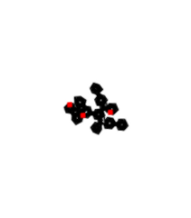 c1ccc(-c2ccc(N(c3ccccc3)c3cc(-c4ccc5c(c4)-c4ccccc4C54c5ccccc5-c5ccccc54)cc(N(c4ccccc4)c4ccc(-c5ccccc5)cc4)c3)cc2)cc1